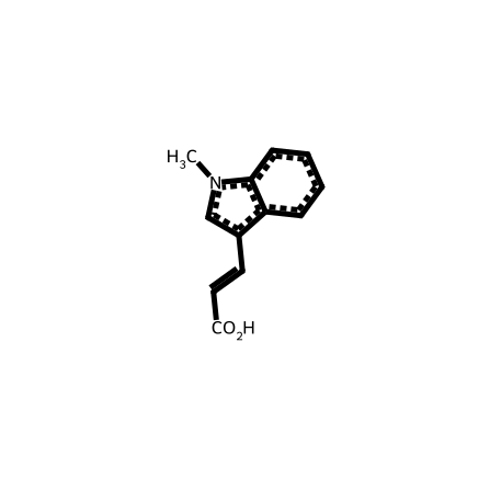 Cn1cc(C=CC(=O)O)c2ccccc21